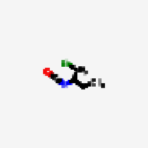 CCC(N=C=O)[SiH2]Cl